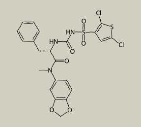 CN(C(=O)[C@H](Cc1ccccc1)NC(=O)NS(=O)(=O)c1cc(Cl)sc1Cl)c1ccc2c(c1)OCO2